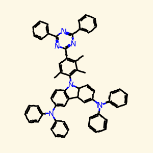 Cc1cc(-c2nc(-c3ccccc3)nc(-c3ccccc3)n2)c(C)c(C)c1N1c2ccc(N(c3ccccc3)c3ccccc3)cc2C2C=C(N(c3ccccc3)c3ccccc3)C=CC21